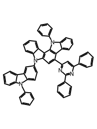 c1ccc(-c2cc(-c3cc4c(c5ccccc5n4-c4ccc5c(c4)c4ccccc4n5-c4ccccc4)c4c3c3ccccc3n4-c3ccccc3)nc(-c3ccccc3)n2)cc1